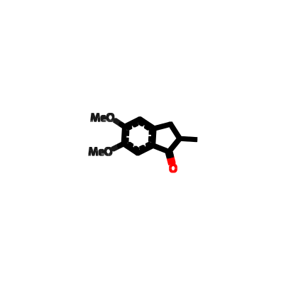 COc1cc2c(cc1OC)C(=O)C(C)C2